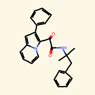 CC(C)(Cc1ccccc1)NC(=O)C(=O)c1c(-c2ccccc2)cc2ccccn12